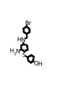 Nc1cc(NCc2ccc(Br)cc2)ccc1Sc1ccc(O)cc1